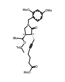 COC(=O)CCCC#CC[C@H]1C(=O)N(Cc2ccc(OC)cc2OC)C[C@@H]1C(O[SiH](C)C)C(C)(C)C